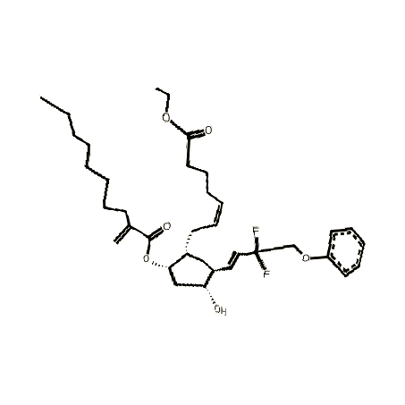 C=C(CCCCCCCC)C(=O)O[C@H]1C[C@@H](O)[C@H](/C=C/C(F)(F)COc2ccccc2)[C@H]1C/C=C\CCCC(=O)OCC